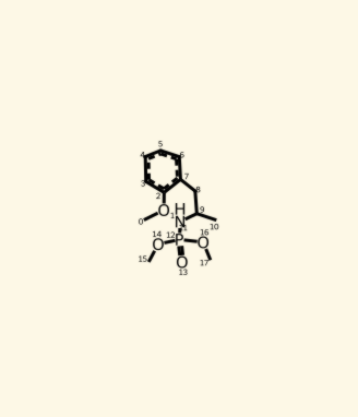 COc1ccccc1CC(C)NP(=O)(OC)OC